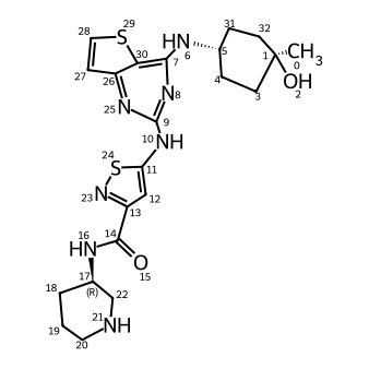 C[C@]1(O)CC[C@H](Nc2nc(Nc3cc(C(=O)N[C@@H]4CCCNC4)ns3)nc3ccsc23)CC1